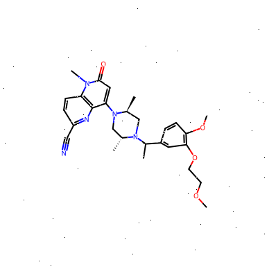 COCCOc1cc(C(C)N2C[C@H](C)N(c3cc(=O)n(C)c4ccc(C#N)nc34)C[C@H]2C)ccc1OC